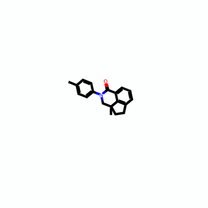 Cc1ccc(N2CC3(C)CCc4cccc(c43)C2=O)cc1